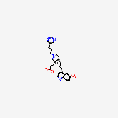 COc1ccc2nccc(CCC[C@@H]3CCN(CCCc4cncnc4)C[C@@H]3CCC(=O)O)c2c1